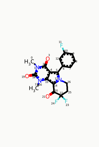 Cn1c(=O)c2c(-c3cccc(F)c3)n3c(c2n(C)c1=O)C(=O)C(F)(F)CC3